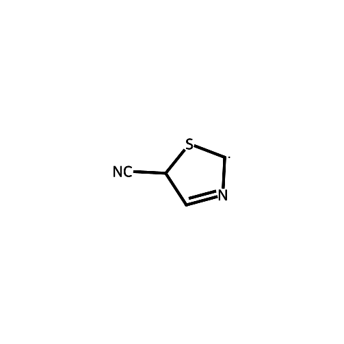 N#CC1C=N[CH]S1